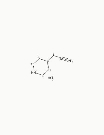 Cl.N#CCC1CCNCC1